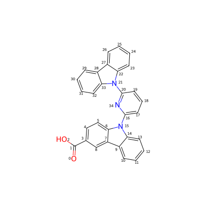 O=C(O)c1ccc2c(c1)c1ccccc1n2-c1cccc(-n2c3ccccc3c3ccccc32)n1